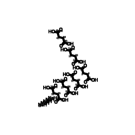 O=C(O)CCC(=O)O.O=C(O)CCC(=O)O.O=C(O)CCC(=O)O.O=C(O)CCC(=O)O.O=C(O)CCC(=O)O.O=C(O)CCC(=O)O.[NaH].[NaH].[NaH].[NaH].[NaH]